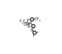 Cc1cc(C)cc(Oc2cccc(C(NC[C@@H](O)C(F)(F)F)c3cc(C(F)(F)F)ccc3F)c2)c1